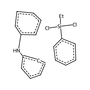 CC[Si](Cl)(Cl)c1ccccc1.c1ccc(Nc2ccccc2)cc1